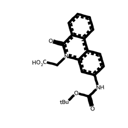 CC(C)(C)OC(=O)Nc1ccc2c3ccccc3c(=O)n(CC(=O)O)c2c1